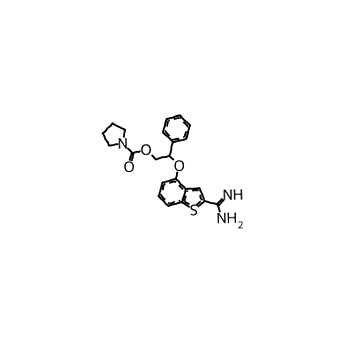 N=C(N)c1cc2c(OC(COC(=O)N3CCCC3)c3ccccc3)cccc2s1